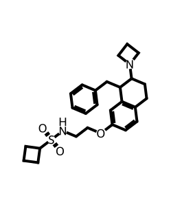 O=S(=O)(NCCOc1ccc2c(c1)C(Cc1ccccc1)C(N1CCC1)CC2)C1CCC1